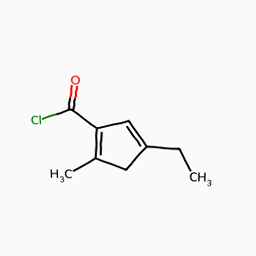 CCC1=CC(C(=O)Cl)=C(C)C1